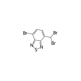 Brc1ccc(C(Br)Br)c2nsnc12